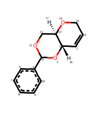 C1=C[C@@H]2OC(c3ccccc3)OC[C@H]2OC1